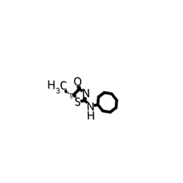 CC[C@H]1SC(NC2CCCCCCC2)=NC1=O